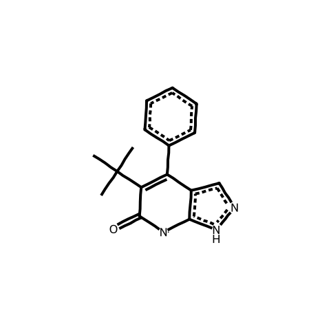 CC(C)(C)C1=C(c2ccccc2)c2cn[nH]c2[N]C1=O